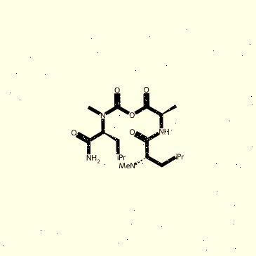 CN[C@@H](CC(C)C)C(=O)N[C@H](C)C(=O)OC(=O)N(C)[C@@H](CC(C)C)C(N)=O